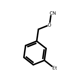 CCc1cccc(COC#N)c1